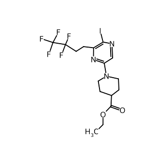 CCOC(=O)C1CCN(c2cnc(I)c(CCC(F)(F)C(F)(F)F)n2)CC1